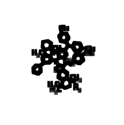 Cc1cc(C(c2ccc(C(C)(C)C)cc2)c2ccc(C(C)(C)C)cc2)cc2c1B(c1sc3cc4c(cc3c1CCc1ccc(C(C)(C)C)cc1)C(C)(C)CCC4(C)C)c1cc(-c3ccccc3)cc3c1N2C1(C)CCCCC31C